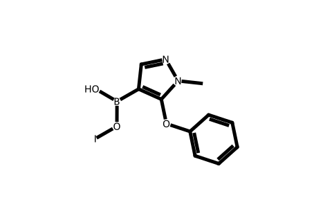 Cn1ncc(B(O)OI)c1Oc1ccccc1